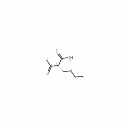 CCCC[C@H](C(C)=O)C(=O)S